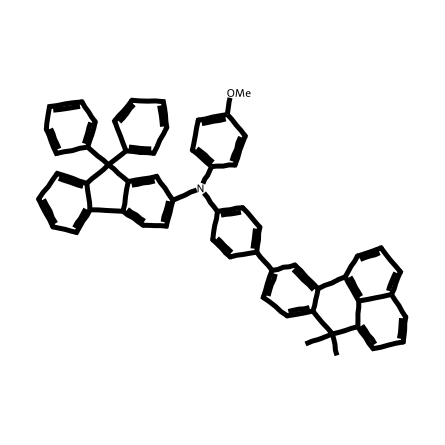 COc1ccc(N(c2ccc(-c3ccc4c(c3)-c3cccc5cccc(c35)C4(C)C)cc2)c2ccc3c(c2)C(c2ccccc2)(c2ccccc2)c2ccccc2-3)cc1